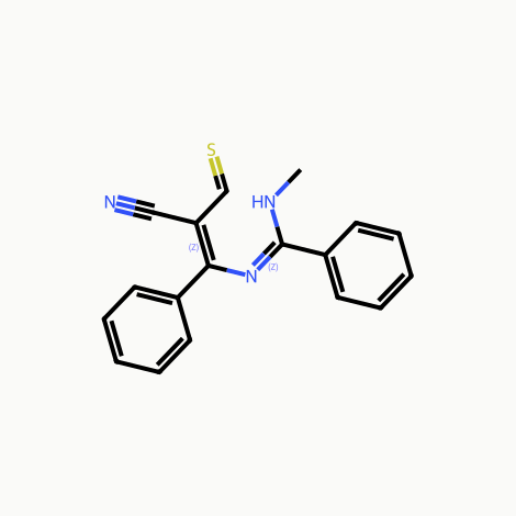 CN/C(=N\C(=C(\C#N)C=S)c1ccccc1)c1ccccc1